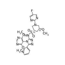 COc1ncnc(OC)c1-n1c(NS(=O)(=O)[C@H]2C[C@H](OC)CN(c3ncc(F)cn3)C2)nnc1-c1cccnc1